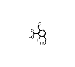 COC(=O)c1c(C=O)ccc(CO)c1F